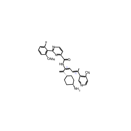 C=C(/C(=C\C=C(/C)c1cnccc1C#N)NC(=O)c1ccnc(-c2c(F)cccc2OC)n1)[C@H]1CC[C@H](N)CC1